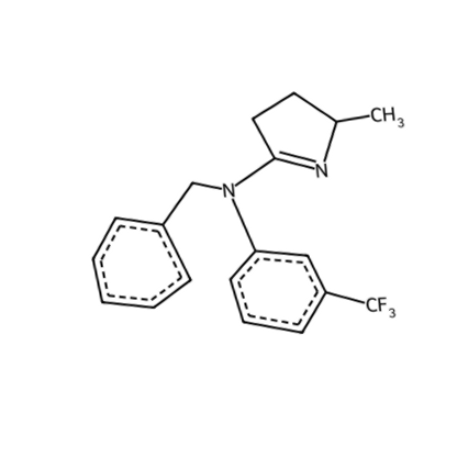 CC1CCC(N(Cc2ccccc2)c2cccc(C(F)(F)F)c2)=N1